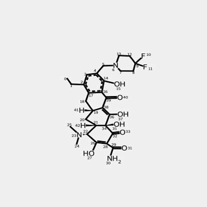 CCc1cc(CN2CCC(F)(F)CC2)c(O)c2c1C[C@H]1C[C@H]3[C@@H](N(C)C)C(O)=C(C(N)=O)C(=O)[C@@]3(O)C(O)=C1C2=O